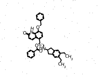 CCc1cc2c(cc1CC)CC(NC[C@H](OC(=O)c1ccccc1)c1ccc(OCc3ccccc3)c3[nH]c(=O)ccc13)C2